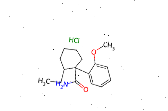 CCC1CCCCC1(C(N)=O)c1ccccc1OC.Cl